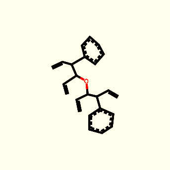 C=CC(OC(C=C)C(C=C)c1ccccc1)C(C=C)c1ccccc1